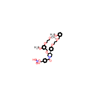 COCCCOc1cc(COC2CN(C(=O)c3ccc(CON(O)O)cc3)CC[C@@H]2c2ccc(OCCCOCc3ccccc3OC)cc2)cc(OC)c1